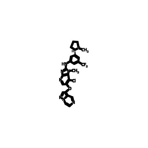 CN1CCC[C@H]1c1cc(Nc2nc3ncc(Oc4cnn5ccncc45)c(Cl)c3n2C)cc(C(F)(F)F)c1